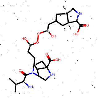 CC(C)[C@H](N)C(=O)N1CCC2(C(=O)O)NCC1C2CCCB(O)OOB(O)CC1C[C@H]2CNC(C(=O)O)[C@H]2C1